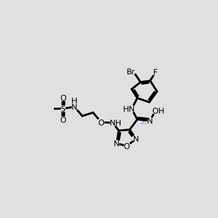 CS(=O)(=O)NCCONc1nonc1/C(=N/O)Nc1ccc(F)c(Br)c1